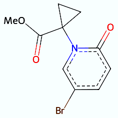 COC(=O)C1(n2cc(Br)ccc2=O)CC1